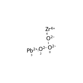 [O-2].[O-2].[O-2].[Pb+2].[Zr+4]